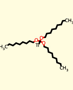 CCCCCCCCCO[C]([Ti])(OCCCCCCCCC)OCCCCCCCCC